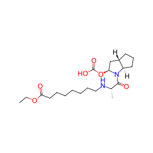 CCOC(=O)CCCCCCCN[C@@H](C)C(=O)N1[C@@H](OC(=O)O)C[C@@H]2CCC[C@H]21